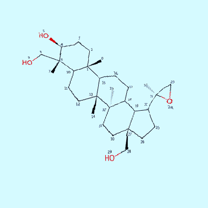 C[C@]12CC[C@H](O)[C@@](C)(CO)C1CC[C@]1(C)C2CCC2C3C([C@@]4(C)CO4)CC[C@]3(CO)CC[C@]21C